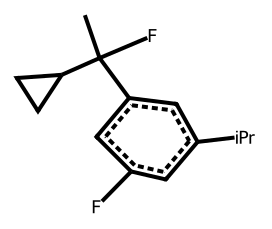 CC(C)c1cc(F)cc(C(C)(F)C2CC2)c1